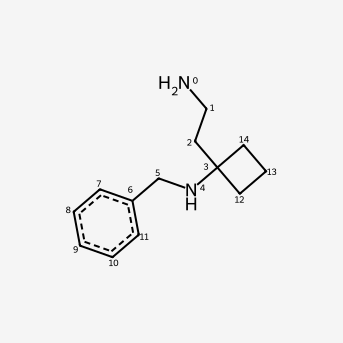 NCCC1(NCc2ccccc2)CCC1